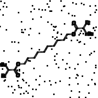 CCCCC(CC)C(=O)OCCCCCCCCCCOC(=O)C(CC)CCCC